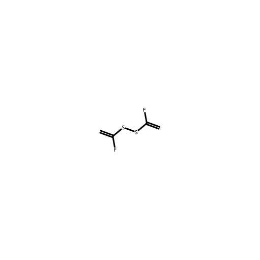 C=C(F)SSC(=C)F